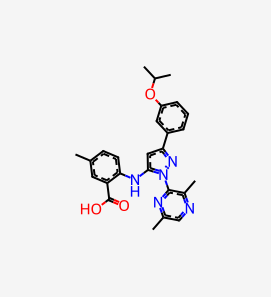 Cc1ccc(Nc2cc(-c3cccc(OC(C)C)c3)nn2-c2nc(C)cnc2C)c(C(=O)O)c1